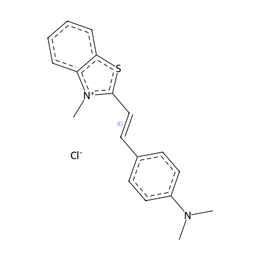 CN(C)c1ccc(/C=C/c2sc3ccccc3[n+]2C)cc1.[Cl-]